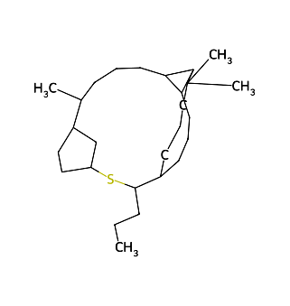 CCCC1SC2CCC(C2)C(C)CCCC2C3CCCC1CCCC(C)(C)C23